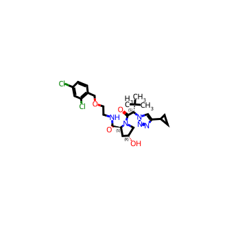 CC(C)(C)[C@@H](C(=O)N1C[C@H](O)C[C@H]1C(=O)NCCOCc1ccc(Cl)cc1Cl)n1cc(C2CC2)nn1